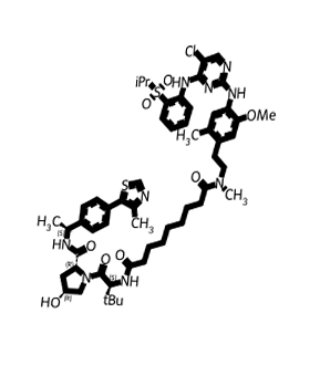 COc1cc(CCN(C)C(=O)CCCCCCCC(=O)N[C@H](C(=O)N2C[C@H](O)C[C@@H]2C(=O)N[C@@H](C)c2ccc(-c3scnc3C)cc2)C(C)(C)C)c(C)cc1Nc1ncc(Cl)c(Nc2ccccc2S(=O)(=O)C(C)C)n1